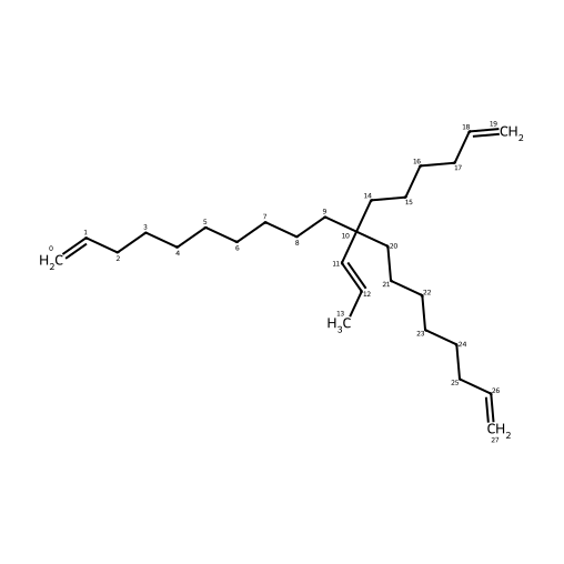 C=CCCCCCCCCC(C=CC)(CCCCC=C)CCCCCCC=C